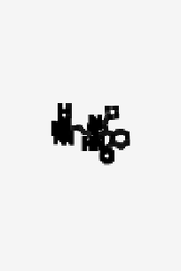 O=c1[nH]c2c(c(C3CCC3)nn2CCc2nnn[nH]2)c2c1CCCC2